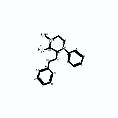 NN1CCN(c2ccccc2)C(CCc2ccccc2)C1C(F)(F)F